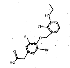 CCNc1cccc(COc2c(Br)cc(CC(=O)O)cc2Br)c1Cl